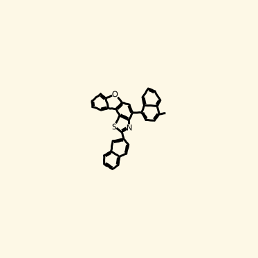 Cc1ccc(-c2cc3oc4ccccc4c3c3sc(-c4ccc5ccccc5c4)nc23)c2ccccc12